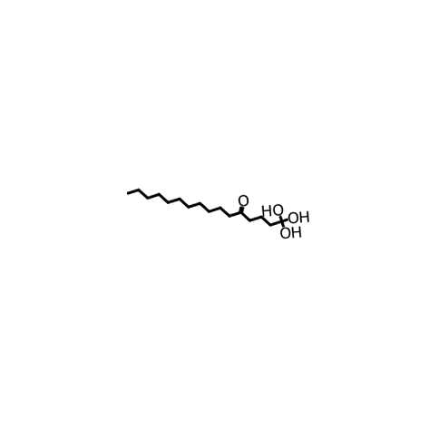 CCCCCCCCCCCC(=O)CCCC(O)(O)O